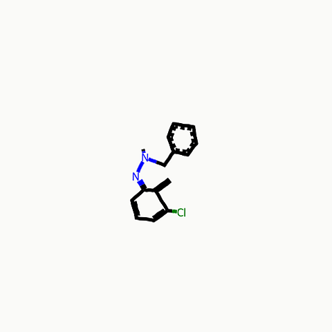 C=C1C(Cl)=CC=C/C1=N/N(C)Cc1ccccc1